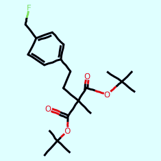 CC(C)(C)OC(=O)C(C)(CCc1ccc(CF)cc1)C(=O)OC(C)(C)C